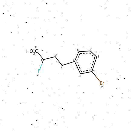 O=C(O)C(F)CCc1cccc(Br)c1